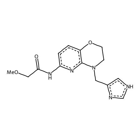 COCC(=O)Nc1ccc2c(n1)N(Cc1c[nH]cn1)CCO2